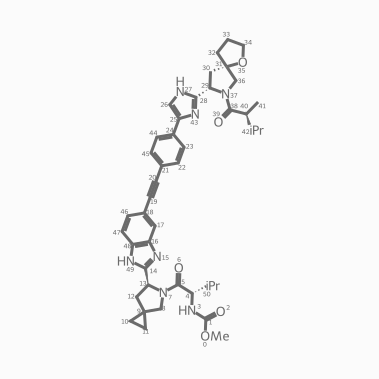 COC(=O)N[C@H](C(=O)N1CC2(CC2)C[C@H]1c1nc2cc(C#Cc3ccc(-c4c[nH]c([C@@H]5C[C@@]6(CCCO6)CN5C(=O)[C@@H](C)C(C)C)n4)cc3)ccc2[nH]1)C(C)C